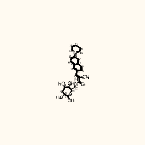 N#C/C(=C\c1ccc2cc(N3CCCCC3)ccc2c1)C(=O)NC[C@H]1OC(O)[C@H](O)C[C@@H](O)[C@@H]1O